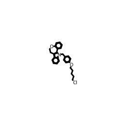 ClCCCCCOc1ccc(Cn2c3c(c4ccccc42)CCOc2ccccc2-3)cc1